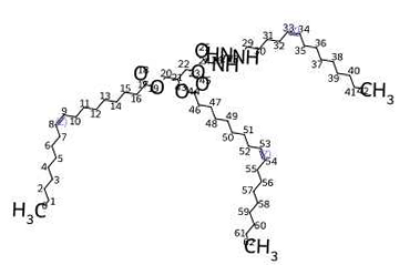 CCCCCCCC/C=C\CCCCCCCC(=O)OCC(COC(=O)NNNCCCC/C=C\CCCCCCCC)OC(=O)CCCCCCC/C=C\CCCCCCCC